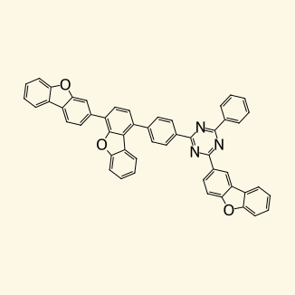 c1ccc(-c2nc(-c3ccc(-c4ccc(-c5ccc6c(c5)oc5ccccc56)c5oc6ccccc6c45)cc3)nc(-c3ccc4oc5ccccc5c4c3)n2)cc1